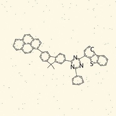 CC1(C)c2ccc(-c3ccc4ccc5cccc6ccc3c4c56)cc2-c2ccc(-c3nc(-c4ccccc4)nc(-c4cccc5c4sc4ccccc45)n3)cc21